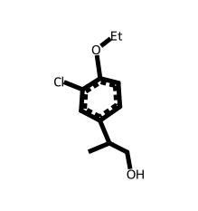 CCOc1ccc([C](C)CO)cc1Cl